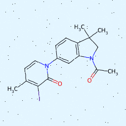 CC(=O)N1CC(C)(C)c2ccc(-n3ccc(C)c(I)c3=O)cc21